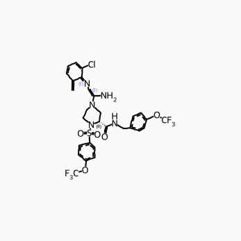 C=C1C=CC=C(Cl)/C1=N/C=C(\N)N1CCN(S(=O)(=O)c2ccc(OC(F)(F)F)cc2)[C@@H](C(=O)NCc2ccc(OC(F)(F)F)cc2)C1